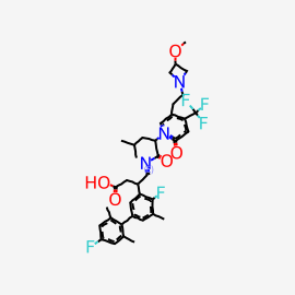 COC1CN(CCc2cn(C(CC(C)C)C(=O)/N=C/C(CC(=O)O)c3cc(-c4c(C)cc(F)cc4C)cc(C)c3F)c(=O)cc2C(F)(F)F)C1